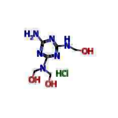 Cl.Nc1nc(NCO)nc(N(CO)CO)n1